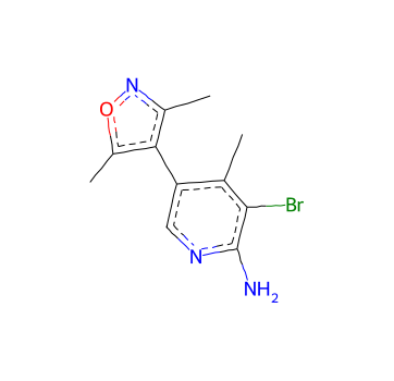 Cc1noc(C)c1-c1cnc(N)c(Br)c1C